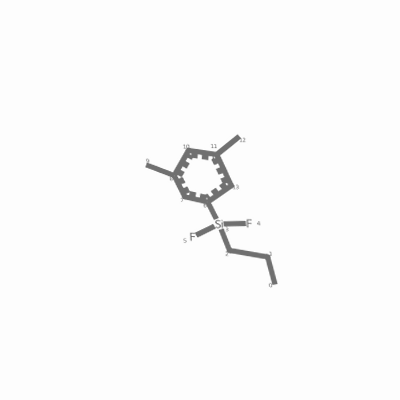 CCC[Si](F)(F)c1cc(C)cc(C)c1